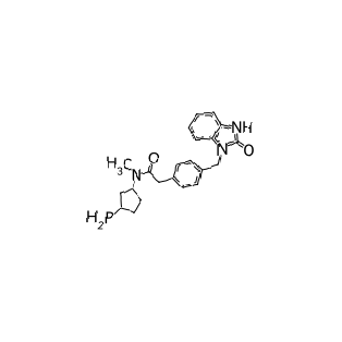 CN(C(=O)Cc1ccc(Cn2c(=O)[nH]c3ccccc32)cc1)C1CCC(P)C1